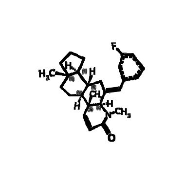 CN1C(=O)C=C[C@]2(C)[C@H]3CC[C@]4(C)CCC[C@H]4[C@@H]3CC(=Cc3cccc(F)c3)[C@@H]12